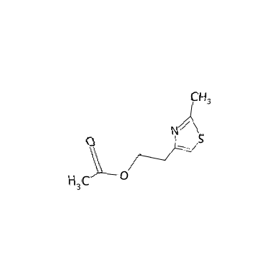 CC(=O)OCCc1csc(C)n1